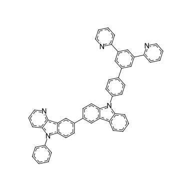 c1ccc(-n2c3ccc(-c4ccc5c(c4)c4ccccc4n5-c4ccc(-c5cc(-c6ccccn6)cc(-c6ccccn6)c5)cc4)cc3c3ncccc32)cc1